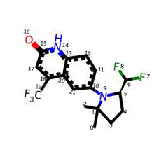 CC1(C)CC[C@H](C(F)F)N1c1ccc2[nH]c(=O)cc(C(F)(F)F)c2c1